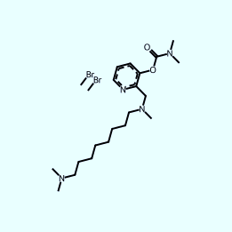 CBr.CBr.CN(C)CCCCCCCCN(C)Cc1ncccc1OC(=O)N(C)C